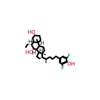 CC[C@H]1[C@@H](O)[C@@H]2[C@H](CC[C@]3(C)[C@@H]([C@H](C)CCCc4cc(F)c(O)c(F)c4)CC[C@@H]23)C2(C)CC[C@@H](O)C[C@@H]12